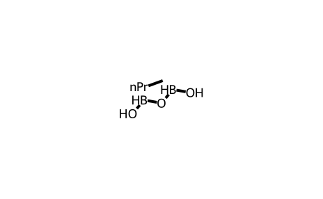 CCCC.OBOBO